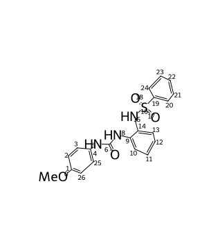 COc1ccc(NC(=O)Nc2ccccc2NS(=O)(=O)c2ccccc2)cc1